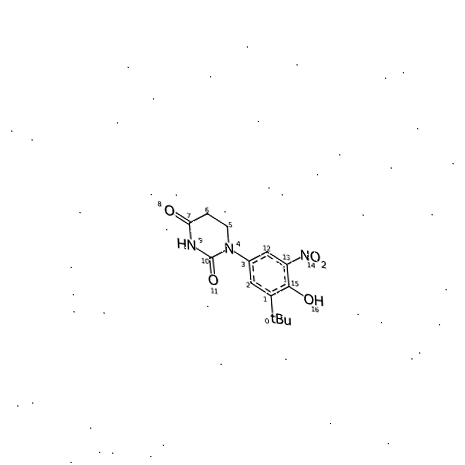 CC(C)(C)c1cc(N2CCC(=O)NC2=O)cc([N+](=O)[O-])c1O